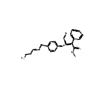 O=C(OF)C(=C(CF)Oc1ccc(CCCCCC(F)(F)F)cc1)c1ccccc1